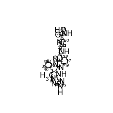 CC[C@H](Nc1ncnc2[nH]cnc12)c1nc2cccc(CNCc3nc(C(=O)NO)cs3)c2c(=O)n1-c1ccccc1